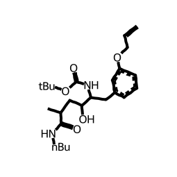 C=CCOc1cccc(CC(NC(=O)OC(C)(C)C)C(O)CC(C)C(=O)NCCCC)c1